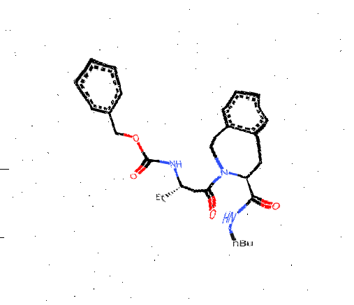 CCCCNC(=O)[C@@H]1Cc2ccccc2CN1C(=O)[C@H](CC)NC(=O)OCc1ccccc1